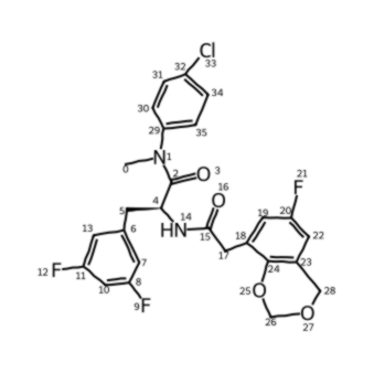 CN(C(=O)[C@H](Cc1cc(F)cc(F)c1)NC(=O)Cc1cc(F)cc2c1OCOC2)c1ccc(Cl)cc1